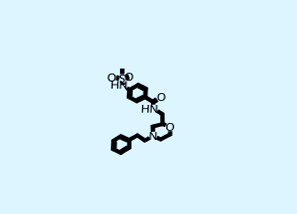 CS(=O)(=O)Nc1ccc(C(=O)NCC2CN(CCc3ccccc3)CCO2)cc1